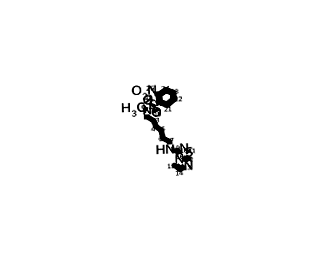 CN(CCCCCCNc1nsc2nccn12)S(=O)(=O)c1ccccc1[N+](=O)[O-]